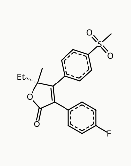 CC[C@@]1(C)OC(=O)C(c2ccc(F)cc2)=C1c1ccc(S(C)(=O)=O)cc1